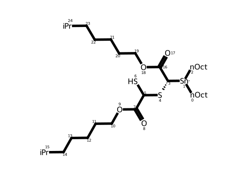 CCCCCCC[CH2][Sn]([CH2]CCCCCCC)[C@H](SC(S)C(=O)OCCCCCC(C)C)C(=O)OCCCCCC(C)C